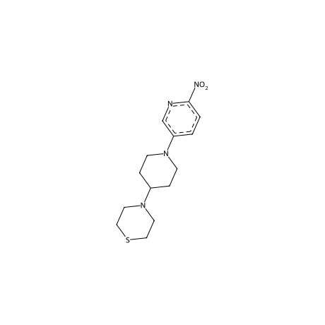 O=[N+]([O-])c1ccc(N2CCC(N3CCSCC3)CC2)cn1